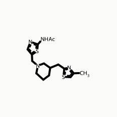 CC(=O)Nc1ncc(CN2CCCC(Cc3nc(C)cs3)C2)s1